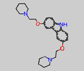 c1cc2[nH]c3ccc(OCCN4CCCCC4)cc3c2cc1OCCN1CCCCC1